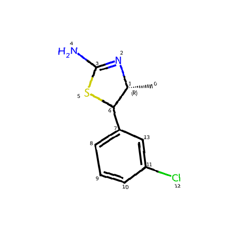 C[C@H]1N=C(N)SC1c1cccc(Cl)c1